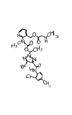 CNCC(=O)OCc1cccnc1N(C)C(=O)OC(C)n1nc(Br)c(C(=O)Nc2ccc(C)cc2Cl)n1